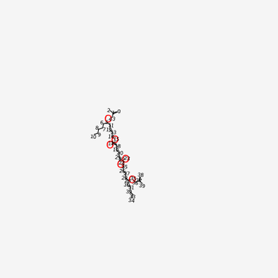 C=C(C)COC(CCCCC)CCCCOC(=O)CCCCC(=O)OCCCCC(CCCCC)OCC(=C)C